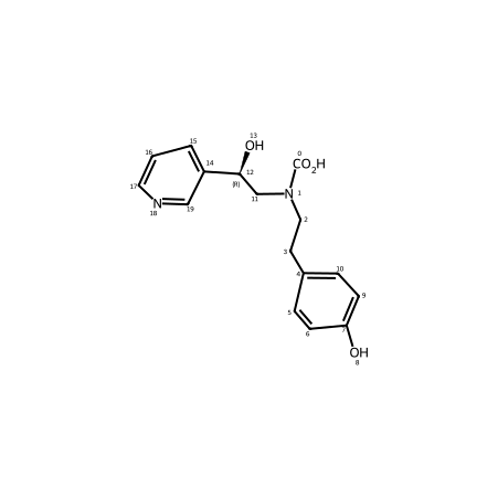 O=C(O)N(CCc1ccc(O)cc1)C[C@H](O)c1cccnc1